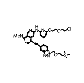 CNc1ncc(C#Cc2ccc3c(c2)nnn3COCC[Si](C)(C)C)c2cc(Nc3cccc(OCCOCCCl)n3)ncc12